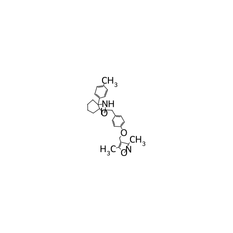 Cc1ccc(C2(NC(=O)Cc3ccc(OCc4c(C)noc4C)cc3)CCCCC2I)cc1